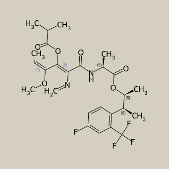 C=N/C(C(=O)N[C@@H](C)C(=O)O[C@@H](C)[C@@H](C)c1ccc(F)cc1C(F)(F)F)=C(OC(=O)C(C)C)\C(=C/C)OC